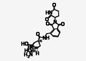 N[C@@H]1[C@@H]2C[C@H](C(=O)NCc3cccc4c3C(=O)N(C3CCC(=O)NC3=O)C4=O)C([C@H]2O)[C@@H]1O